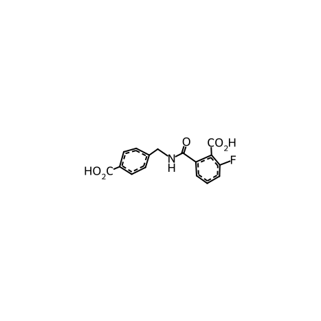 O=C(O)c1ccc(CNC(=O)c2cccc(F)c2C(=O)O)cc1